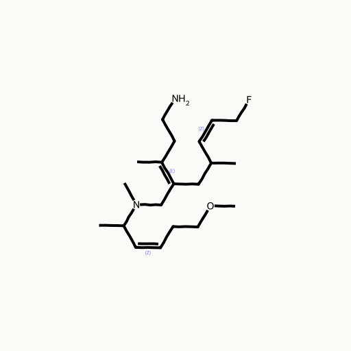 COCC/C=C\C(C)N(C)C/C(CC(C)/C=C\CF)=C(\C)CCN